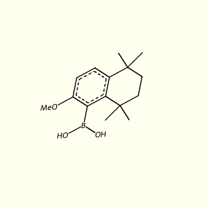 COc1ccc2c(c1B(O)O)C(C)(C)CCC2(C)C